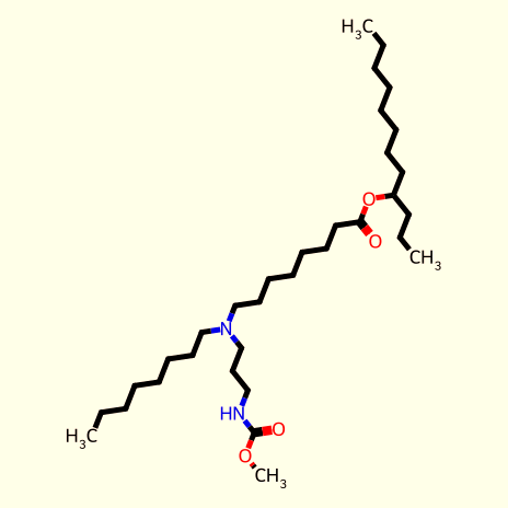 CCCCCCCCC(CCC)OC(=O)CCCCCCCN(CCCCCCCC)CCCNC(=O)OC